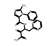 Cc1ncc(C(=O)NC(Cc2ncccn2)C(=O)C(N)=O)n1-c1ccccn1